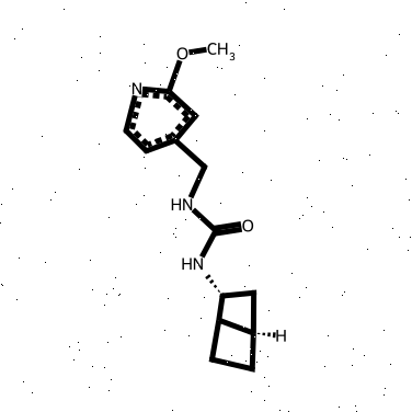 COc1cc(CNC(=O)N[C@@H]2C[C@H]3CCC32)ccn1